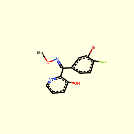 CC(C)(C)O/N=C(/c1ccc(F)c(Br)c1)c1ncccc1O